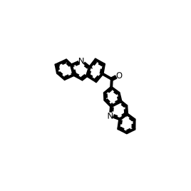 O=C(c1ccc2nc3ccccc3cc2c1)c1ccc2nc3ccccc3cc2c1